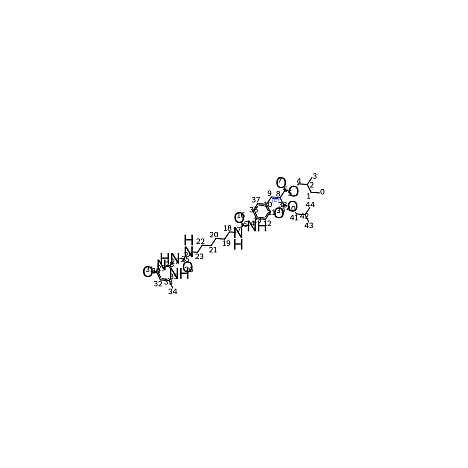 CCC(C)COC(=O)/C(=C/c1ccc(NC(=O)NCCCCCCNC(=O)Nc2nc(=O)cc(C)[nH]2)cc1)C(=O)OCC(C)C